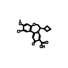 COc1cc2c(cc1Cl)-c1cc(=O)c(C(=O)O)cn1C(C1CCC1)CO2